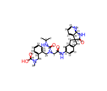 CC(C)NC(=O)N(CC(=O)Nc1ccc2c(c1)CC1(C2)C(=O)Nc2ncccc21)Cc1ccccc1CN(C)C(=O)O